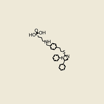 O=P(O)(O)CCCNCc1ccc(CCSc2ncc(-c3ccccc3)n2-c2ccccc2)cc1